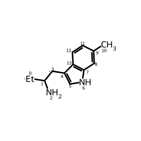 C[CH]C(N)[CH]c1c[nH]c2cc(C)ccc12